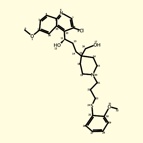 COc1ccc2ncc(Cl)c([C@H](O)CCC3(CO)CCN(CCCSc4ccccc4OC)CC3)c2c1